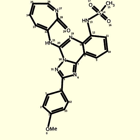 COc1ccc(-c2nc3c4cccc(NS(C)(=O)=O)c4nc(Nc4ccccnc4=O)n3n2)cc1